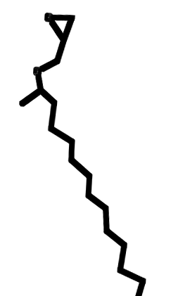 CCCCCCCCCCCCC(C)OCC1CO1